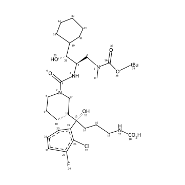 CN(C[C@@H](NC(=O)N1CCC[C@@H]([C@@](O)(CCCNC(=O)O)c2cccc(F)c2Cl)C1)[C@H](O)C1CCCCC1)C(=O)OC(C)(C)C